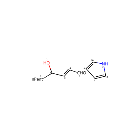 CCCCCC(O)C=CC=O.c1cc[nH]c1